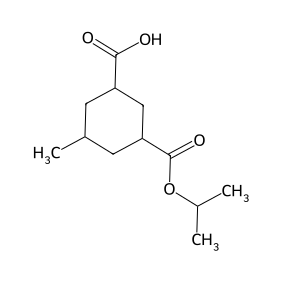 CC1CC(C(=O)O)CC(C(=O)OC(C)C)C1